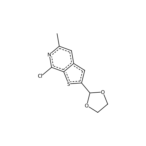 Cc1cc2cc(C3OCCO3)sc2c(Cl)n1